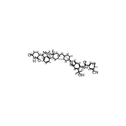 Cn1nc(C2CCC(=O)NC2=O)c2cccc([C@@H]3CCN(CC4CCC(n5cc6cc(NC(=O)c7cncc(C#N)c7)c(C(C)(C)O)cc6n5)CC4)CC3(F)F)c21